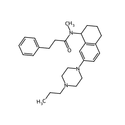 CCCN1CCN(c2ccc3c(c2)C(N(C)C(=O)CCc2ccccc2)CCC3)CC1